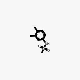 Cc1ccc(NS(C)(=O)=O)cc1C